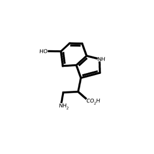 NCC(C(=O)O)c1c[nH]c2ccc(O)cc12